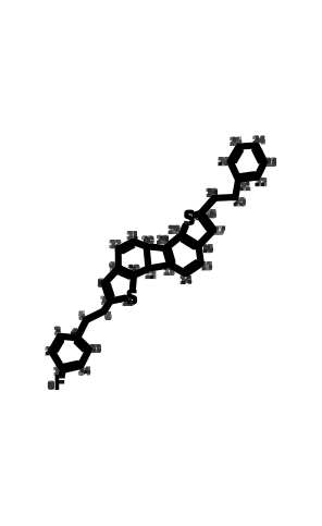 Fc1ccc(CCc2cc3c(s2)C2c4ccc5cc(CCc6ccccc6)sc5c4C2C=C3)cc1